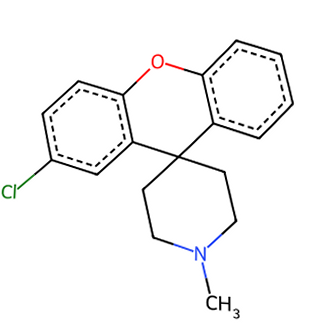 CN1CCC2(CC1)c1ccccc1Oc1ccc(Cl)cc12